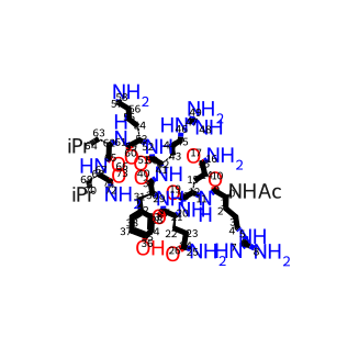 CC(=O)N[C@@H](CCCNC(=N)N)C(=O)N[C@@H](CCC(N)=O)C(=O)N[C@@H](CCC(N)=O)C(=O)N[C@@H](Cc1ccc(O)cc1)C(=O)N[C@@H](CCCNC(=N)N)C(=O)N[C@@H](CCCCN)C(=O)N[C@@H](CC(C)C)C(=O)N[C@@H](CC(C)C)C(N)=O